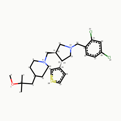 COC(C)(C)CC1CCN(C[C@H]2CN(Cc3ccc(Cl)cc3Cl)C[C@@H]2c2ccsc2)CC1